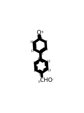 O=[C]c1ccc(C2=CCC(=O)C=C2)cc1